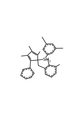 CC1=C(C)C(Cc2cccc(C)c2C)([SiH2]c2cc(C)cc(C)c2)C(c2ccccc2)=C1C